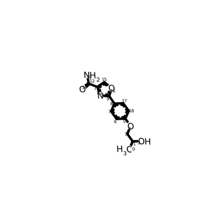 CC(O)COc1ccc(-c2nc(C(N)=O)co2)cc1